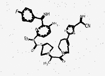 CCN(C(=O)[C@@H]1CCN(C(C)C(=O)N2CC=C(c3ncc(C(=N)C#N)s3)CC2)C1)c1ccc(N)c(C(=N)c2ccc(F)cc2)n1